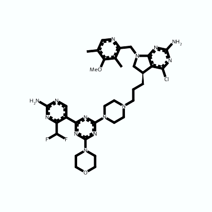 COc1c(C)cnc(CN2C[C@H](CCCN3CCN(c4nc(-c5cnc(N)nc5C(F)F)nc(N5CCOCC5)n4)CC3)c3c(Cl)nc(N)nc32)c1C